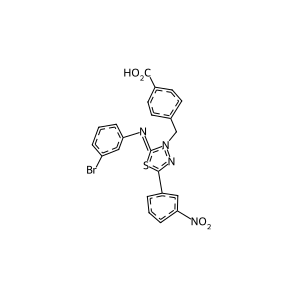 O=C(O)c1ccc(Cn2nc(-c3cccc([N+](=O)[O-])c3)sc2=Nc2cccc(Br)c2)cc1